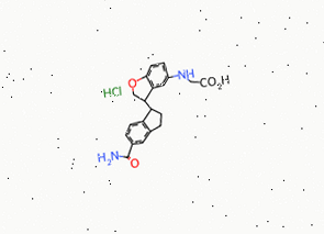 Cl.NC(=O)c1ccc2c(c1)CCC2C1COc2ccc(NCC(=O)O)cc21